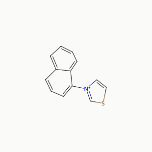 c1ccc2c(-[n+]3ccsc3)cccc2c1